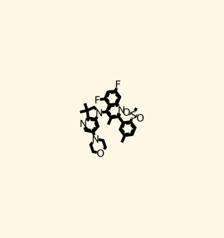 Cc1ccc(S(C)(=O)=O)c(-c2nc3cc(F)cc(F)c3c(N3CC(C)(C)c4ncc(N5CCOCC5)cc43)c2C)c1